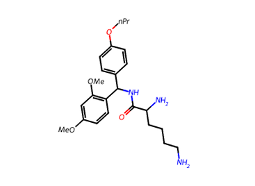 CCCOc1ccc(C(NC(=O)C(N)CCCCN)c2ccc(OC)cc2OC)cc1